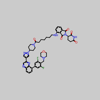 O=C1CCC(N2C(=O)c3cccc(NCCCCCCC(=O)N4CCC(n5cc(-c6cnc7cccc(-c8cc(F)c(CN9CCOCC9)c(F)c8)c7n6)cn5)CC4)c3C2=O)C(=O)N1